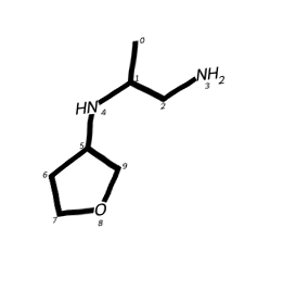 CC(CN)NC1CCOC1